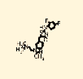 Cc1nc2ccc(C=C3SC(Nc4ccc(F)cc4F)=NC3=O)cc2n1CCN(C)C